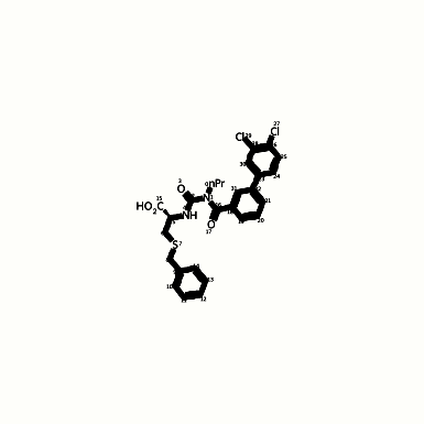 CCCN(C(=O)N[C@@H](CSCc1ccccc1)C(=O)O)C(=O)c1cccc(-c2ccc(Cl)c(Cl)c2)c1